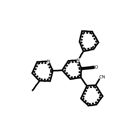 Cc1ccnc(-c2cc(-c3ccccc3C#N)c(=O)n(-c3ccccc3)c2)c1